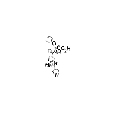 O=C(NC(COc1ccccc1)C(=O)O)c1ccc2[nH]c(-c3ccncc3)nc2c1